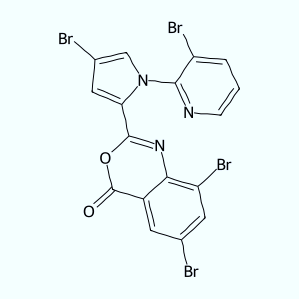 O=c1oc(-c2cc(Br)cn2-c2ncccc2Br)nc2c(Br)cc(Br)cc12